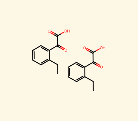 CCc1ccccc1C(=O)C(=O)O.CCc1ccccc1C(=O)C(=O)O